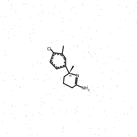 Cc1cc([C@@]2(C)CCCC(N)=N2)ccc1Cl